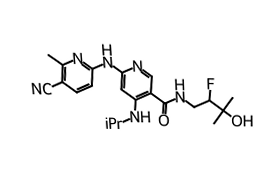 Cc1nc(Nc2cc(NC(C)C)c(C(=O)NCC(F)C(C)(C)O)cn2)ccc1C#N